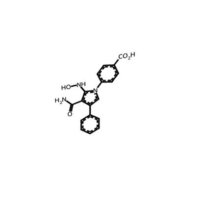 NC(=O)c1c(-c2ccccc2)cn(-c2ccc(C(=O)O)cc2)c1NO